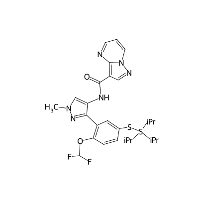 CC(C)S(Sc1ccc(OC(F)F)c(-c2nn(C)cc2NC(=O)c2cnn3cccnc23)c1)(C(C)C)C(C)C